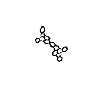 c1ccc(-c2cc3cc4c(cc(-c5ccccc5)c5c4ccc4c6ccccc6sc45)cc3c3ccc4c5ccccc5sc4c23)cc1